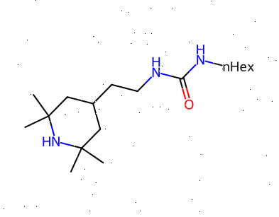 CCCCCCNC(=O)NCCC1CC(C)(C)NC(C)(C)C1